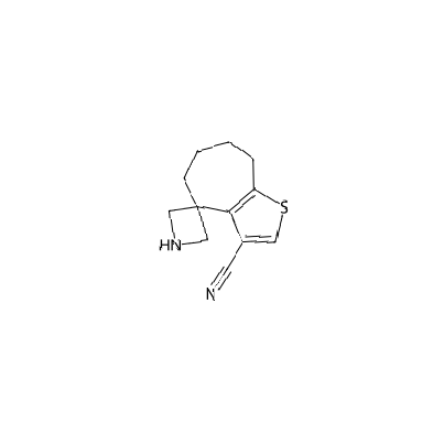 N#Cc1csc2c1C1(CCCC2)CNC1